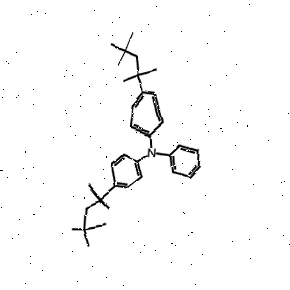 CC(C)(C)CC(C)(C)c1ccc(N(c2ccccc2)c2ccc(C(C)(C)CC(C)(C)C)cc2)cc1